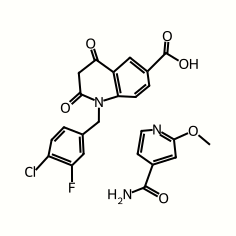 COc1cc(C(N)=O)ccn1.O=C(O)c1ccc2c(c1)C(=O)CC(=O)N2Cc1ccc(Cl)c(F)c1